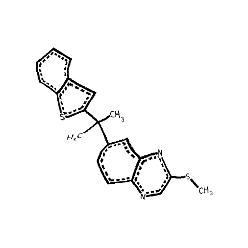 CSc1cnc2ccc(C(C)(C)c3cc4ccccc4s3)cc2n1